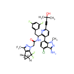 Cn1nc(N)c2c(Cl)ccc(-c3ccc(C#CC(C)(C)O)nc3C(Cc3cc(F)cc(F)c3)NC(=O)Cn3nc(C(F)(F)F)c4c3C(F)(F)[C@@H]3C[C@H]43)c21